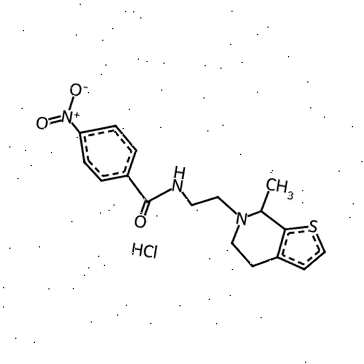 CC1c2sccc2CCN1CCNC(=O)c1ccc([N+](=O)[O-])cc1.Cl